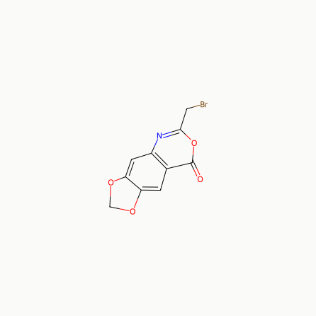 O=c1oc(CBr)nc2cc3c(cc12)OCO3